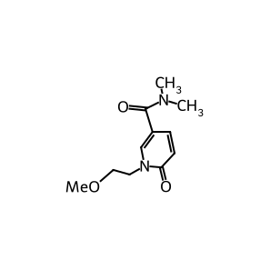 COCCn1cc(C(=O)N(C)C)ccc1=O